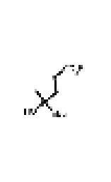 CCCCC(C)(O)CCC(=O)OCC